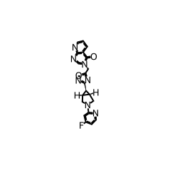 O=c1c2cccnc2ncn1Cc1nc([C@H]2[C@@H]3CN(c4cc(F)ccn4)C[C@@H]32)no1